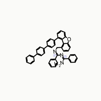 N/C(=N\C(=N/Cc1cccc2oc3cccc(-c4ccc(-c5ccc(-c6ccccc6)cc5)cc4)c3c12)c1ccccc1)c1ccccc1